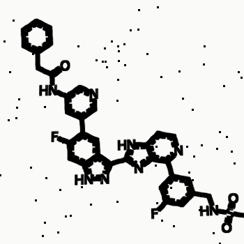 CS(=O)(=O)NCc1cc(F)cc(-c2nccc3[nH]c(-c4n[nH]c5cc(F)c(-c6cncc(NC(=O)Cc7ccccc7)c6)cc45)nc23)c1